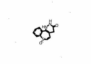 O=C1CC2=C(NN1)c1ccccc1[S+]([O-])C=C2